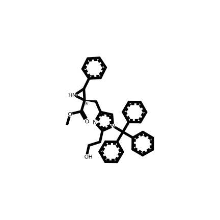 COC(=O)[C@]1(Cc2cn(C(c3ccccc3)(c3ccccc3)c3ccccc3)c(CCO)n2)NC1c1ccccc1